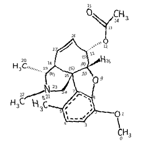 COc1ccc(C)c2c1O[C@H]1[C@@H](OC(C)=O)C=CC3[C@@H](C)N(C)CC[C@@]231